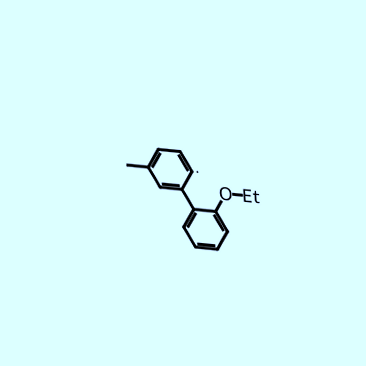 CCOc1ccccc1-c1[c]ccc(C)c1